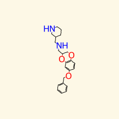 c1ccc(COc2ccc3c(c2)OC(CNCC2CCCNC2)CO3)cc1